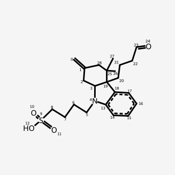 C=C1CC2N(CCCCS(=O)(=O)O)c3ccccc3C2(CCCC=O)C(C)(C)C1